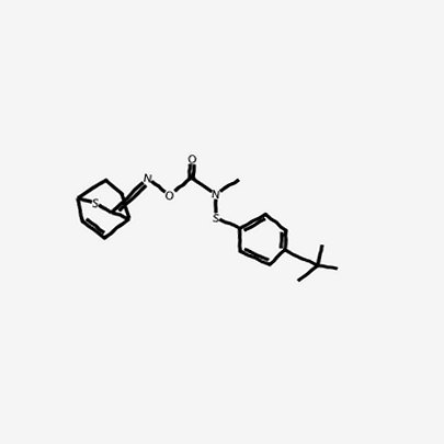 CN(Sc1ccc(C(C)(C)C)cc1)C(=O)ON=C1SC2C=CC1CC2